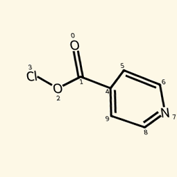 O=C(OCl)c1ccncc1